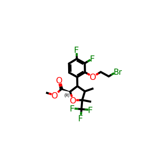 COC(=O)[C@@H]1OC(C)(C(F)(F)F)C(C)C1c1ccc(F)c(F)c1OCCBr